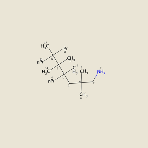 CCCC(C)(CC(C)(C)CN)C(C)(C)C(C)(CCC)C(C)C